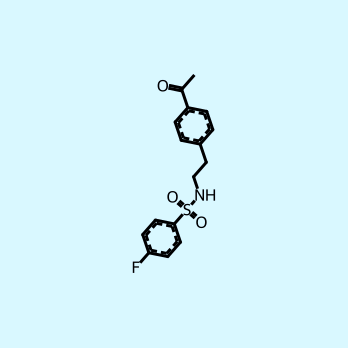 CC(=O)c1ccc(CCNS(=O)(=O)c2ccc(F)cc2)cc1